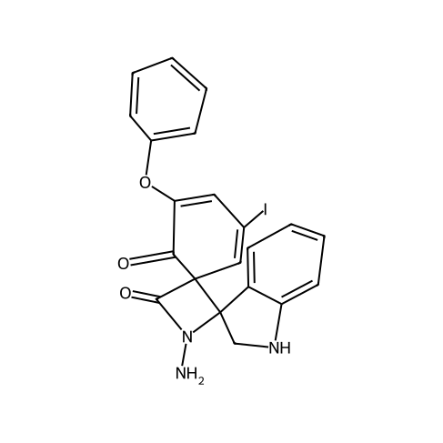 NN1C(=O)C2(C=C(I)C=C(Oc3ccccc3)C2=O)C12CNc1ccccc12